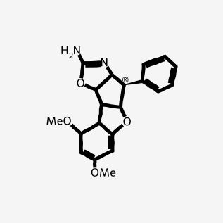 COC1=CC(OC)C2C(=C1)OC1C2C2OC(N)=NC2[C@H]1c1ccccc1